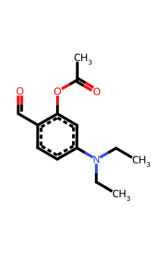 CCN(CC)c1ccc(C=O)c(OC(C)=O)c1